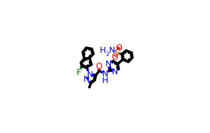 Cc1cc(C(=O)Nc2ncc(-c3ccccc3S(N)(=O)=O)cn2)n(-c2cc3ccccc3cc2F)n1